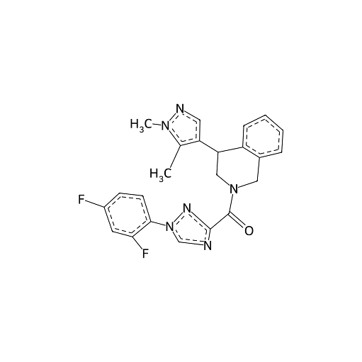 Cc1c(C2CN(C(=O)c3ncn(-c4ccc(F)cc4F)n3)Cc3ccccc32)cnn1C